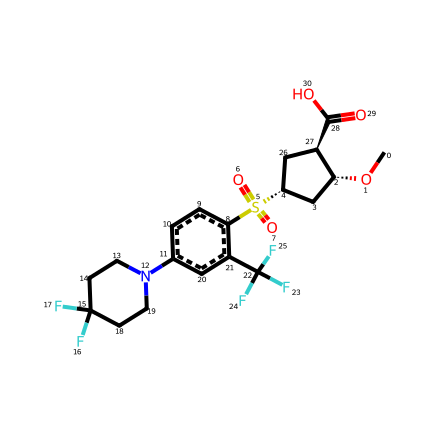 CO[C@@H]1C[C@H](S(=O)(=O)c2ccc(N3CCC(F)(F)CC3)cc2C(F)(F)F)C[C@H]1C(=O)O